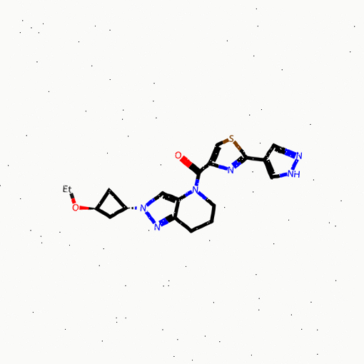 CCO[C@H]1C[C@H](n2cc3c(n2)CCCN3C(=O)c2csc(-c3cn[nH]c3)n2)C1